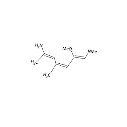 CN/C=C(/C=C(C)\C=C(/C)N)OC